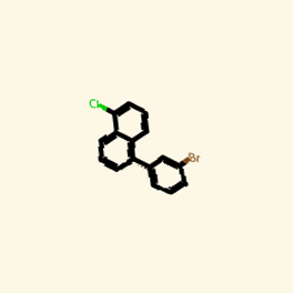 Clc1cccc2c(-c3cccc(Br)c3)cccc12